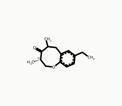 CCc1ccc2c(c1)CC(C)C(=O)[C@@H](C)CO2